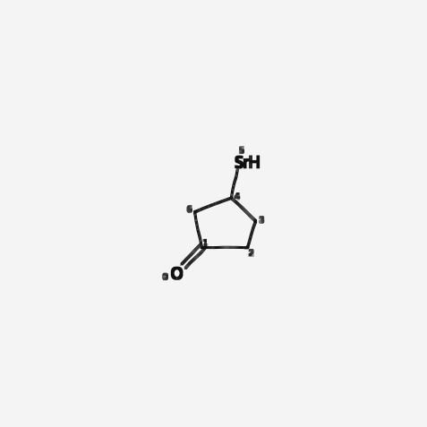 O=C1CC[CH]([SrH])C1